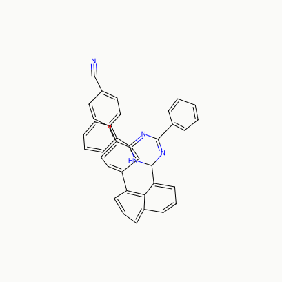 N#Cc1ccc(-c2ccc(-c3cccc4cccc(C5N=C(c6ccccc6)N=C(c6ccccc6)N5)c34)cc2)cc1